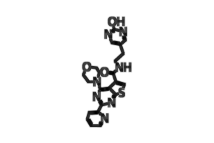 O=C(NCCc1cnc(O)nc1)c1csc2nc(-c3ccccn3)nc(N3CCOCC3)c12